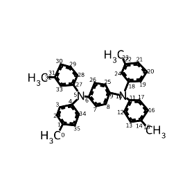 Cc1ccc(N(c2ccc(N(c3ccc(C)cc3)c3cccc(C)c3)cc2)c2cccc(C)c2)cc1